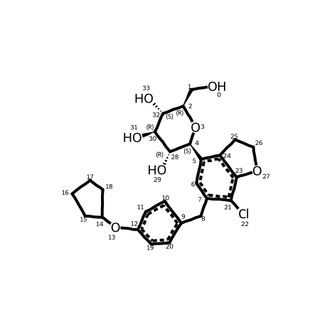 OC[C@H]1O[C@@H](c2cc(Cc3ccc(OC4CCCC4)cc3)c(Cl)c3c2CCO3)[C@H](O)[C@@H](O)[C@@H]1O